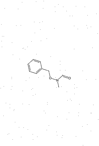 CN([C]=O)OCc1ccccc1